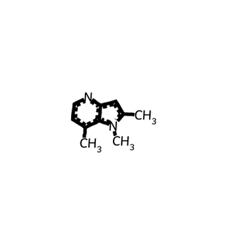 Cc1ccnc2cc(C)n(C)c12